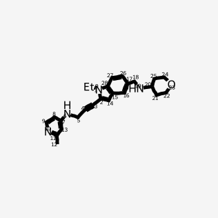 CCn1c(C#CCNc2ccnc(C)c2)cc2cc(CNC3CCOCC3)ccc21